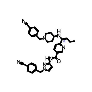 CC/C=C(/NC1CCN(Cc2ccc(C#N)cc2)CC1)c1ccc(C(=O)Nc2ccn(Cc3ccc(C#N)cc3)n2)cn1